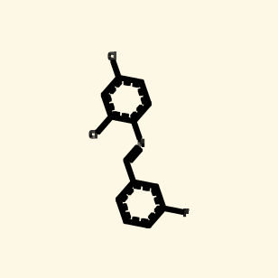 Fc1cccc(C=Nc2ccc(Cl)cc2Cl)c1